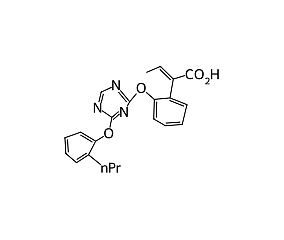 C/C=C(/C(=O)O)c1ccccc1Oc1ncnc(Oc2ccccc2CCC)n1